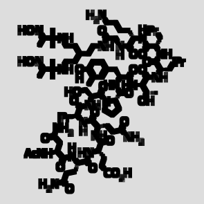 CC(=O)N[C@@H](CC(N)=O)C(=O)N[C@@H](CCC(N)=O)C(=O)N[C@@H](CCC(=O)O)C(=O)N[C@@H](CCC(N)=O)C(=O)N[C@H](C(=O)N[C@@H](CO)C(=O)N1CCC[C@H]1C(=O)N[C@@H](Cc1ccc(O)c(C)c1)C(=O)N[C@H](C(=O)N[C@@H](CC(C)C)C(=O)N[C@@H](CC(C)C)C(=O)N[C@@H](CCCCN)C(=O)NCC(=O)NCCC(CCNC(C)(C)/C(C)=N/O)CCNC(C)(C)/C(C)=N/O)[C@H](C)O)C(C)C